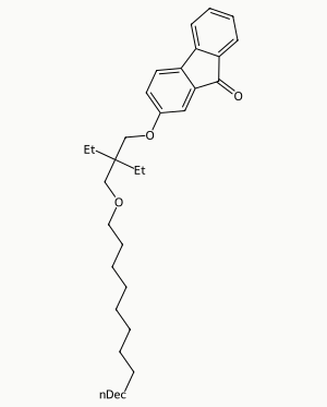 CCCCCCCCCCCCCCCCCCOCC(CC)(CC)COc1ccc2c(c1)C(=O)c1ccccc1-2